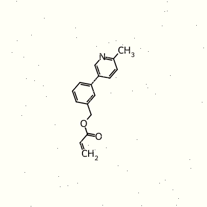 C=CC(=O)OCc1cccc(-c2ccc(C)nc2)c1